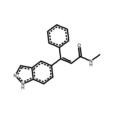 CNC(=O)C=C(c1ccccc1)c1ccc2[nH]ncc2c1